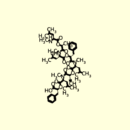 C#C[C@@H](OC(=O)[C@H](CC(C)C)N(C)C(=O)[C@@H](Cc1ccccc1)OC(=O)[C@H](CC(C)C)N(C)C(=O)[C@@H](C)OC(=O)[C@H](CC(C)C)NC)C(=O)N(C)[C@@H](CC(C)C)C(=O)O[C@H](Cc1ccccc1)C(=O)O